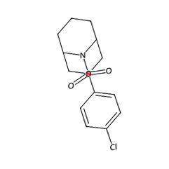 O=S(=O)(c1ccc(Cl)cc1)N1C2CCCC1COC2